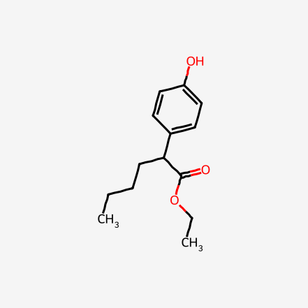 CCCCC(C(=O)OCC)c1ccc(O)cc1